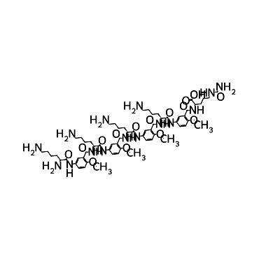 COc1ccc(NC(=O)[C@H](CCCCN)NC(=O)c2cc(NC(=O)[C@H](CCCCN)NC(=O)c3cc(NC(=O)[C@H](CCCCN)NC(=O)c4cc(NC(=O)C(N)CCCCN)ccc4OC)ccc3OC)ccc2OC)cc1C(=O)NC(CCCNC(N)=O)C(=O)O